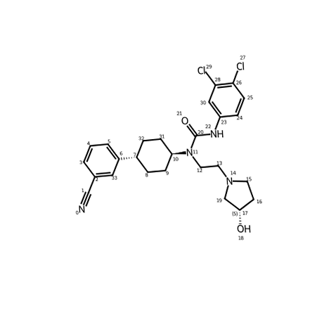 N#Cc1cccc([C@H]2CC[C@H](N(CCN3CC[C@H](O)C3)C(=O)Nc3ccc(Cl)c(Cl)c3)CC2)c1